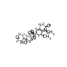 Cc1cc(S(=O)(=O)C2(C)CC(O)(C3CCOCC3)CS2)cc2c1N(C)C(=O)CC2